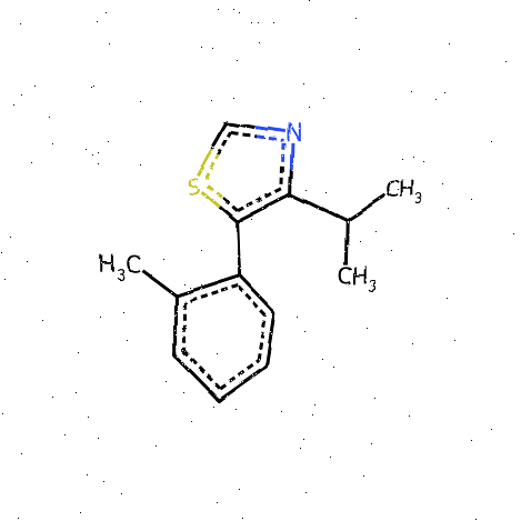 Cc1ccccc1-c1scnc1C(C)C